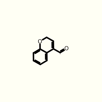 O=[C]C1=CCOc2ccccc21